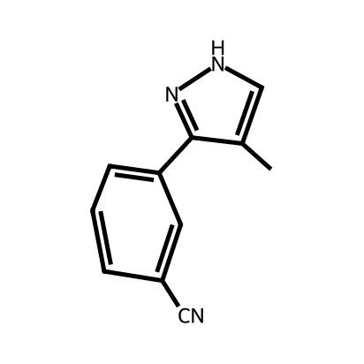 Cc1c[nH]nc1-c1cccc(C#N)c1